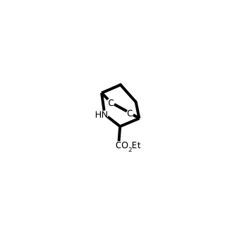 CCOC(=O)C1NC2CCC1CC2